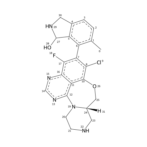 Cc1ccc2c(c1-c1c(Cl)c3c4c(ncnc4c1F)N1CCNC[C@H]1CO3)C(O)NC2